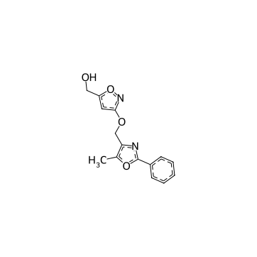 Cc1oc(-c2ccccc2)nc1COc1cc(CO)on1